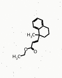 CCOC(=O)C=CC1(C)CCCc2ccccc21